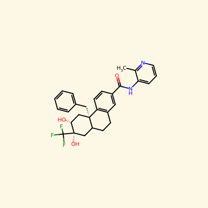 Cc1ncccc1NC(=O)c1ccc2c(c1)CCC1C[C@@](O)(C(F)(F)F)[C@H](O)C[C@@]21Cc1ccccc1